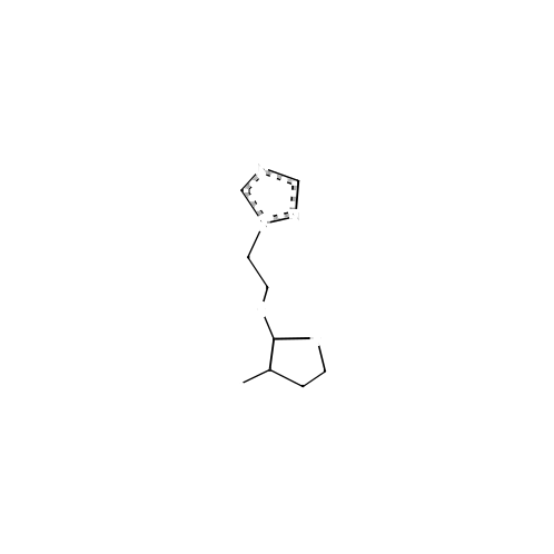 [O]C1CCOC1OCCn1cncn1